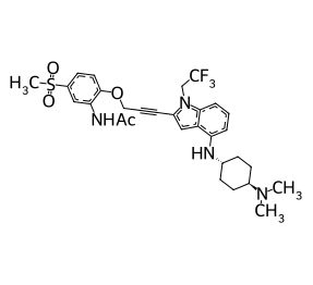 CC(=O)Nc1cc(S(C)(=O)=O)ccc1OCC#Cc1cc2c(N[C@H]3CC[C@H](N(C)C)CC3)cccc2n1CC(F)(F)F